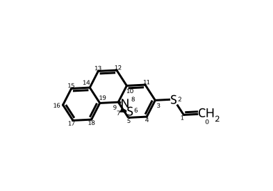 C=CSC1=CC2SC=NC23C(=C1)C=Cc1ccccc13